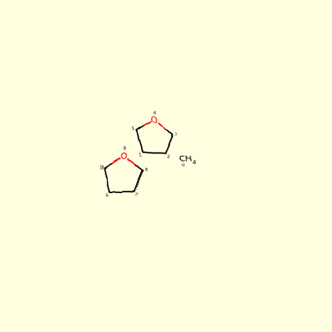 C.C1CCOC1.C1CCOC1